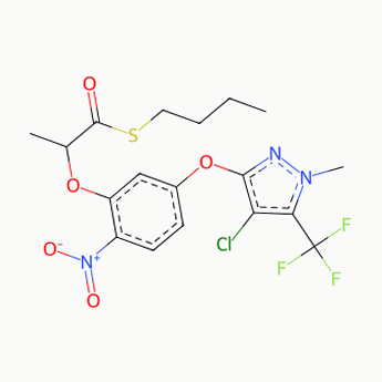 CCCCSC(=O)C(C)Oc1cc(Oc2nn(C)c(C(F)(F)F)c2Cl)ccc1[N+](=O)[O-]